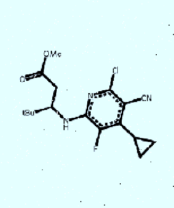 COC(=O)C[C@@H](Nc1nc(Cl)c(C#N)c(C2CC2)c1F)C(C)(C)C